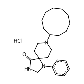 Cl.O=C1NCN(c2ccccc2)C12CCN(C1CCCCCCCCC1)CC2